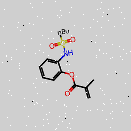 C=C(C)C(=O)Oc1ccccc1NS(=O)(=O)CCCC